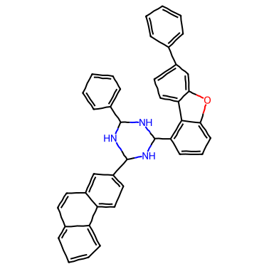 c1ccc(-c2ccc3c(c2)oc2cccc(C4NC(c5ccccc5)NC(c5ccc6c(ccc7ccccc76)c5)N4)c23)cc1